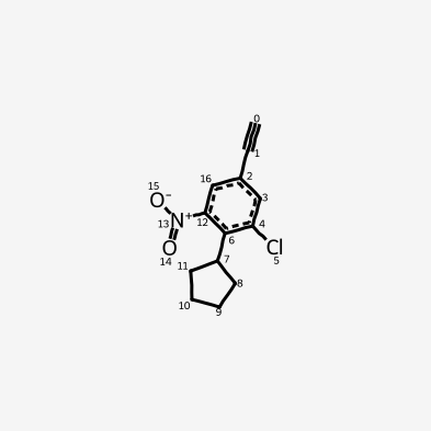 C#Cc1cc(Cl)c(C2CCCC2)c([N+](=O)[O-])c1